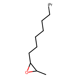 CC(C)CCCCCCC1OC1C